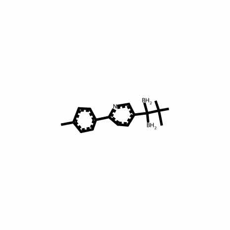 BC(B)(c1ccc(-c2ccc(C)cc2)nc1)C(C)(C)C